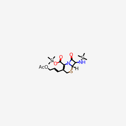 CC(=O)OCC=CC1=C(C(=O)O[Si](C)(C)C)N2C(=O)C(N[Si](C)(C)C)[C@@H]2SC1